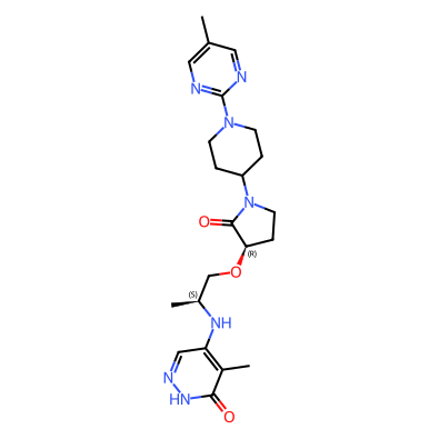 Cc1cnc(N2CCC(N3CC[C@@H](OC[C@H](C)Nc4cn[nH]c(=O)c4C)C3=O)CC2)nc1